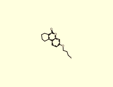 O=c1oc2cc(OCCCI)ccc2c2c1CCCC2